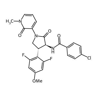 COc1cc(F)c([C@@H]2CN(c3cccn(C)c3=O)C(=O)[C@H]2NC(=O)c2ccc(Cl)cc2)c(F)c1